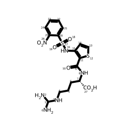 NC(N)NCCC[C@H](NC(=O)c1sccc1NS(=O)(=O)c1ccccc1[N+](=O)[O-])C(=O)O